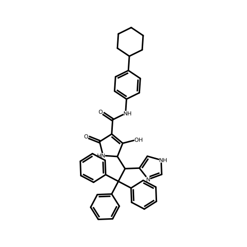 O=C(Nc1ccc(C2CCCCC2)cc1)C1=C(O)C(C(c2c[nH]cn2)C(c2ccccc2)(c2ccccc2)c2ccccc2)NC1=O